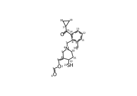 O=CO/C=C1/CN(Cc2c(F)cccc2C(=O)C2CC2)CCC1S